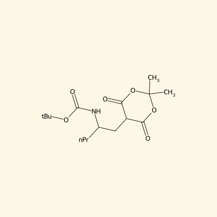 CCCC(CC1C(=O)OC(C)(C)OC1=O)NC(=O)OC(C)(C)C